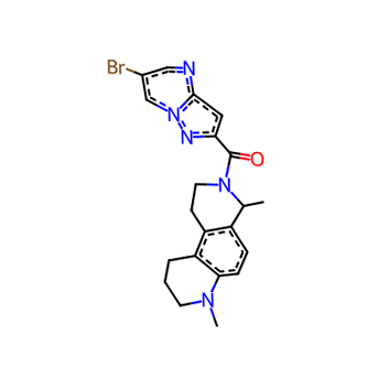 CC1c2ccc3c(c2CCN1C(=O)c1cc2ncc(Br)cn2n1)CCCN3C